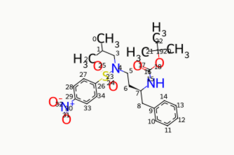 CC(C)CN(CC[C@H](Cc1ccccc1)NC(=O)OC(C)(C)C)S(=O)(=O)c1ccc([N+](=O)[O-])cc1